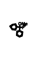 COC(P=O)(c1ccccc1)c1ccccc1